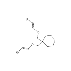 CCC=COCC1(COC=CCC)CCCCC1